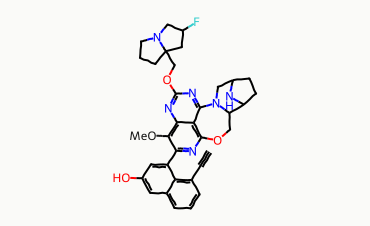 C#Cc1cccc2cc(O)cc(-c3nc4c5c(nc(OCC67CCCN6CC(F)C7)nc5c3OC)N3CC5CCC(N5)C3CO4)c12